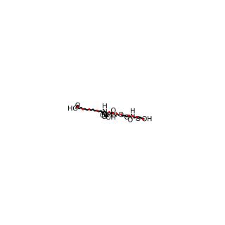 O=C(O)CCCCCCCCCCCCC(=O)N[C@@H](CCC(=O)NCCOCCOCC(=O)NCCOCCO)C(=O)O